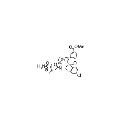 COC(=O)c1ccc2c(c1)N(C[C@@H]1CC[C@H]1CN(C)C(=O)C[C@@H](C)[C@H](C)S(N)(=O)=O)CC1(CCCc3cc(Cl)ccc31)CO2